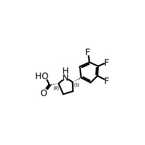 O=C(O)[C@H]1CC[C@@H](c2cc(F)c(F)c(F)c2)N1